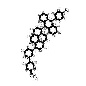 Fc1ccc(-c2c3ccccc3c(-c3ccc4ccc5c(-c6cccc(-c7ccc(C(F)(F)F)nc7)c6)ccc6ccc3c4c65)c3ccccc23)cc1